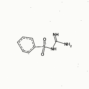 N=C(N)NS(=O)(=O)c1[c]cccc1